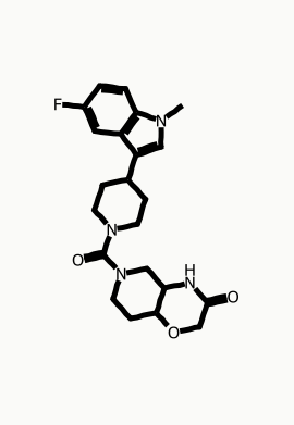 Cn1cc(C2CCN(C(=O)N3CCC4OCC(=O)NC4C3)CC2)c2cc(F)ccc21